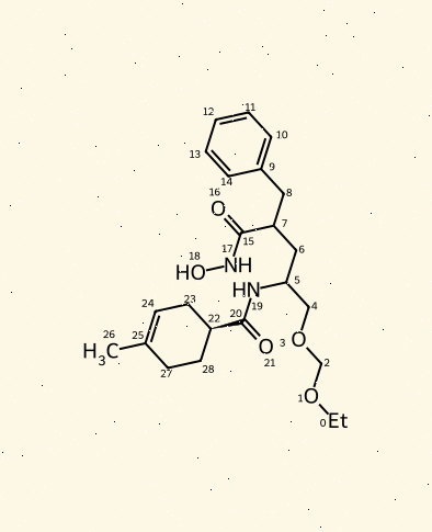 CCOCOCC(CC(Cc1ccccc1)C(=O)NO)NC(=O)[C@@H]1CC=C(C)CC1